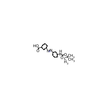 CC(C)(C)OC(=O)Nc1cccc(/N=N/c2cccc(C(=O)O)c2)c1